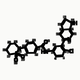 O=C(Nc1ccc(Cl)c(-c2cc3cc[nH]c3cn2)c1)c1ccc(N2CCCCS2(=O)=O)cc1